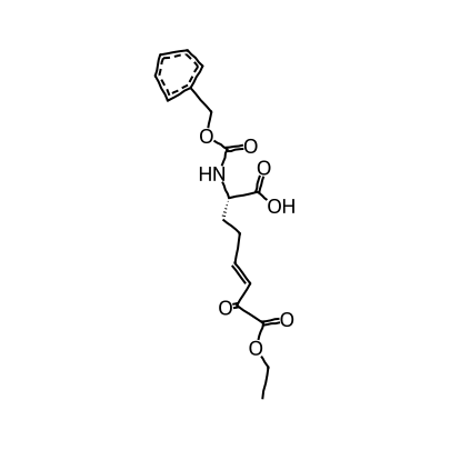 CCOC(=O)C(=O)/C=C/CC[C@H](NC(=O)OCc1ccccc1)C(=O)O